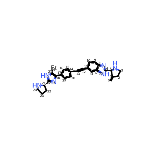 C=C1CCN[C@@H]1c1nc2ccc(C#Cc3ccc(-c4nc([C@@H]5CCCN5)[nH]c4CC)cc3)cc2[nH]1